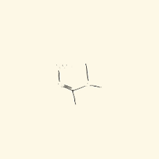 CCN(C)/C(C)=N\NC